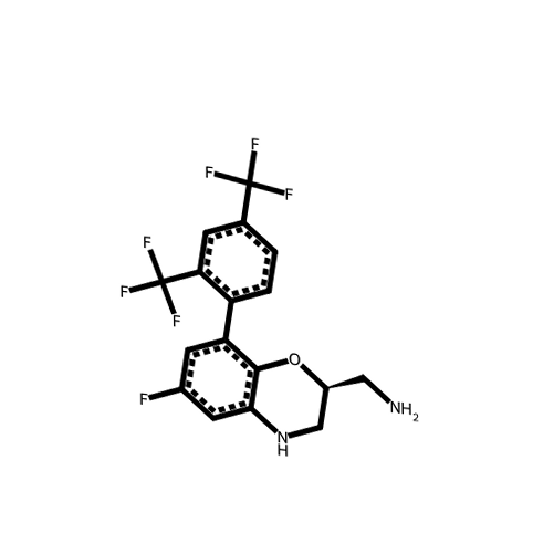 NC[C@H]1CNc2cc(F)cc(-c3ccc(C(F)(F)F)cc3C(F)(F)F)c2O1